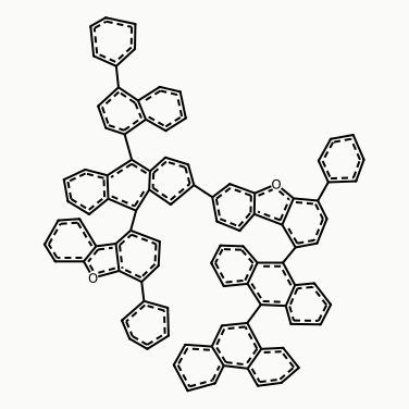 c1ccc(-c2ccc(-c3c4ccccc4c(-c4ccc(-c5ccccc5)c5oc6ccccc6c45)c4cc(-c5ccc6c(c5)oc5c(-c7ccccc7)ccc(-c7c8ccccc8c(-c8cc9ccccc9c9ccccc89)c8ccccc78)c56)ccc34)c3ccccc23)cc1